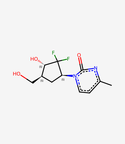 Cc1ccn([C@H]2C[C@@H](CO)[C@H](O)C2(F)F)c(=O)n1